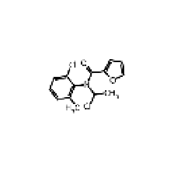 Cc1cccc(Cl)c1N(C(=O)c1ccco1)C(C)Cl